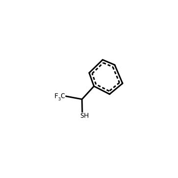 FC(F)(F)C(S)c1ccccc1